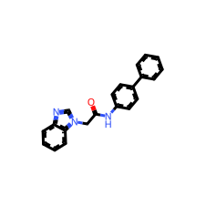 O=C(Cn1cnc2ccccc21)Nc1ccc(-c2ccccc2)cc1